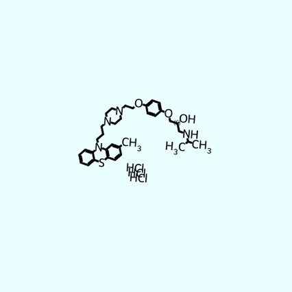 Cc1ccc2c(c1)N(CCCN1CCN(CCOc3ccc(OC[C@@H](O)CNC(C)C)cc3)CC1)c1ccccc1S2.Cl.Cl.Cl